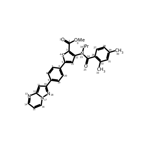 COC(=O)c1sc(-c2ccc(-c3cc4ncccn4n3)cc2)cc1N(C(=O)c1ccc(C)cc1C)C(C)C